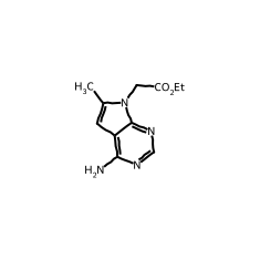 CCOC(=O)Cn1c(C)cc2c(N)ncnc21